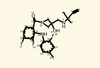 C#CC(C)(C)NCC1(O)CN(C(=O)c2ccc(F)c(F)c2Nc2ccc(I)cc2F)C1